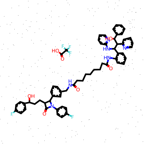 O=C(CCCCCCCC(=O)Nc1ccccc1C(Nc1ccccn1)C(c1ccccn1)C(O)c1ccccc1)NCc1cccc(C2C(CCC(O)c3ccc(F)cc3)C(=O)N2c2ccc(F)cc2)c1.O=C(O)C(F)(F)F